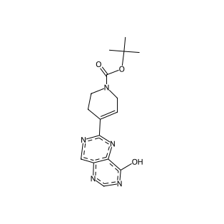 CC(C)(C)OC(=O)N1CC=C(c2ncc3ncnc(O)c3n2)CC1